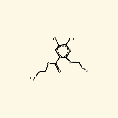 CCCOC(=O)c1cc(Cl)c(O)nc1NCC